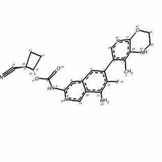 Cc1c(-c2cc3cc(NC(=O)O[C@H]4CC[C@@H]4C#N)ncc3c(N)c2F)cnc2c1NCCO2